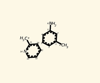 Cc1cccc(N)c1.Cc1ccccn1